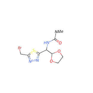 CNC(=O)NC(c1nnc(CBr)s1)C1OCCO1